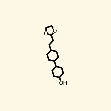 OC1CCC(C2CCC(CCC3OCCO3)CC2)CC1